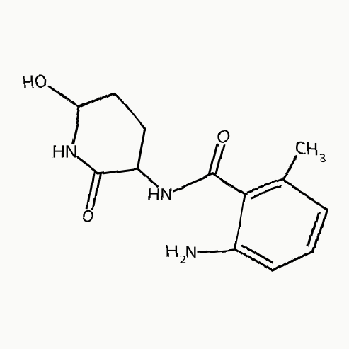 Cc1cccc(N)c1C(=O)NC1CCC(O)NC1=O